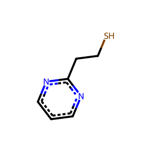 SCCc1ncccn1